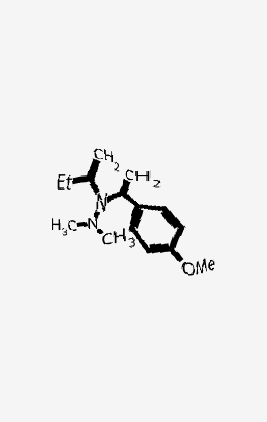 C=C(CC)N(C(=C)c1ccc(OC)cc1)N(C)C